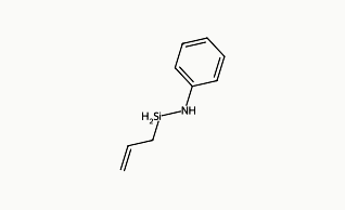 C=CC[SiH2]Nc1ccccc1